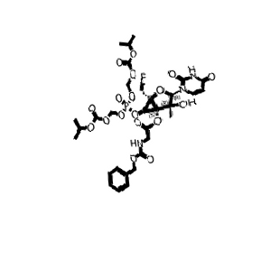 CC(C)OC(=O)OCOP(=O)(OCOC(=O)OC(C)C)OC1[C@]2(OC(=O)CNC(=O)OCc3ccccc3)[C@@](C)(O)[C@H](n3ccc(=O)[nH]c3=O)O[C@]12CF